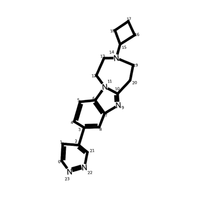 c1cc(-c2ccc3c(c2)nc2n3CCN(C3CCC3)CC2)cnn1